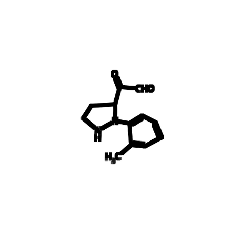 Cc1ccccc1N1NCCC1C(=O)C=O